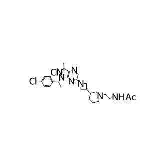 CC(=O)NCCN1CCCC(C2CN(c3cnc4c(C)nn(C(C)c5ccc(Cl)cc5Cl)c4n3)C2)C1